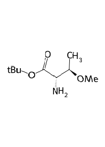 CO[C@H](C)[C@H](N)C(=O)OC(C)(C)C